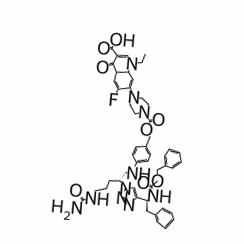 CCN1C=C(C(=O)O)C(=O)C2C=C(F)C(N3CCN(C(=O)OCc4ccc(NC[C@@H](CCCNC(N)=O)n5cc([C@H](Cc6ccccc6)NC(=O)OCc6ccccc6)nn5)cc4)CC3)=CC21